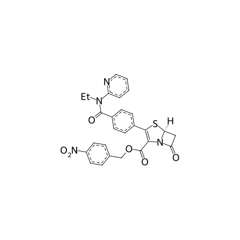 CCN(C(=O)c1ccc(C2=C(C(=O)OCc3ccc([N+](=O)[O-])cc3)N3C(=O)C[C@@H]3S2)cc1)c1ccccn1